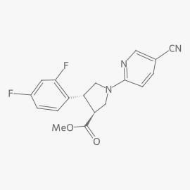 COC(=O)[C@@H]1CN(c2ccc(C#N)cn2)C[C@H]1c1ccc(F)cc1F